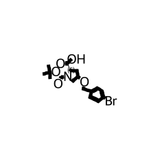 CC(C)(C)OC(=O)N1CC(OCc2ccc(Br)cc2)C[C@H]1C(=O)O